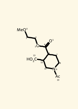 COCCOC(=O)C1CCN(C(C)=O)CC1C(=O)O